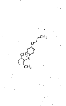 C=CCOc1ccc(SC2=C(C)CCC2=C)cc1